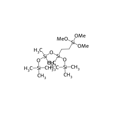 CO[Si](CC[Si](C)(O[Si](C)(C)C)O[Si](C)(C)O[Si](C)(C)C)(OC)OC